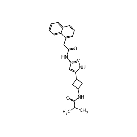 CC(C)C(=O)NC1CC(c2cc(NC(=O)Cc3cccc4ccccc34)n[nH]2)C1